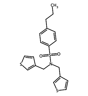 CCCc1ccc(S(=O)(=O)N(Cc2ccsc2)Cc2ccsc2)cc1